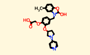 Cc1ccc2c(c1)N(Cc1ccc(OCC(=O)O)c(OC3CCN(c4ccncc4)C3)c1)C(O)O2